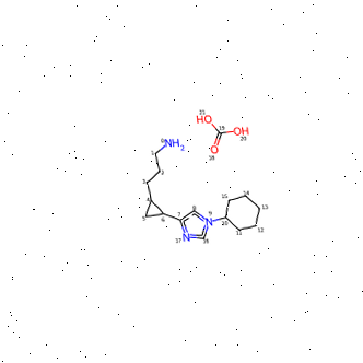 NCCCC1CC1c1cn(C2CCCCC2)cn1.O=C(O)O